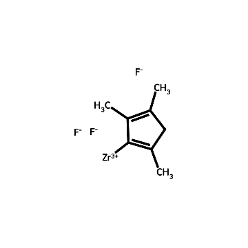 CC1=C(C)[C]([Zr+3])=C(C)C1.[F-].[F-].[F-]